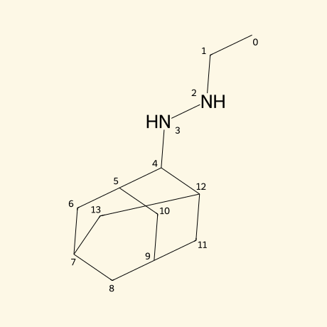 CCNNC1C2CC3CC(C2)CC1C3